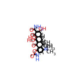 CN(C)c1cc2[nH]c(=O)oc2c2c1C(C)(C)[C@H]1C[C@H]3CC(O)=C(C(N)=O)C(=O)[C@@]3(O)C(O)=C1C2=O